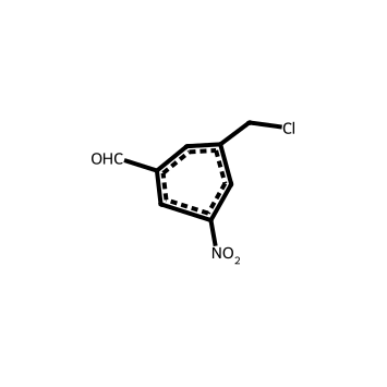 O=Cc1cc(CCl)cc([N+](=O)[O-])c1